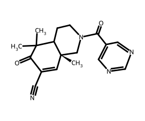 CC1(C)C(=O)C(C#N)=C[C@@]2(C)CN(C(=O)c3cncnc3)CCC12